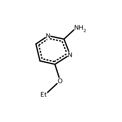 CCOc1ccnc(N)n1